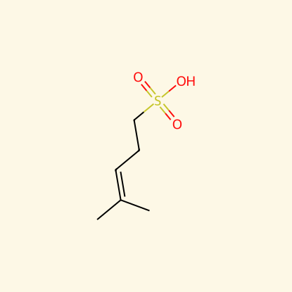 CC(C)=CCCS(=O)(=O)O